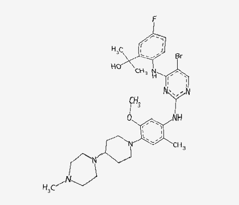 COc1cc(Nc2ncc(Br)c(Nc3ccc(F)cc3C(C)(C)O)n2)c(C)cc1N1CCC(N2CCN(C)CC2)CC1